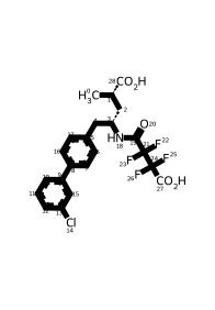 C[C@@H](C[C@@H](Cc1ccc(-c2cccc(Cl)c2)cc1)NC(=O)C(F)(F)C(F)(F)C(=O)O)C(=O)O